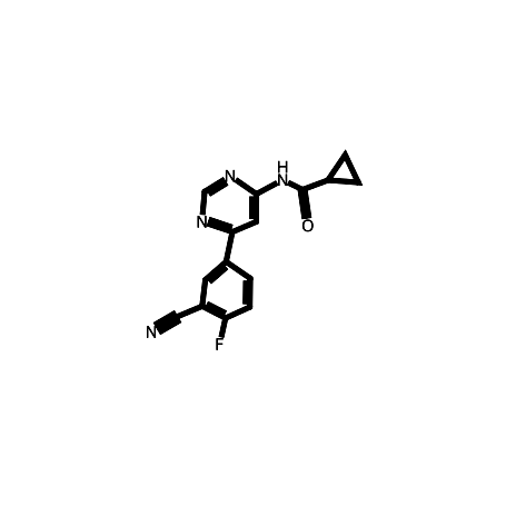 N#Cc1cc(-c2cc(NC(=O)C3CC3)ncn2)ccc1F